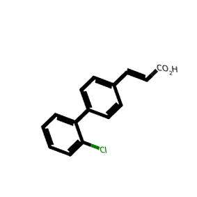 O=C(O)C=Cc1ccc(-c2ccccc2Cl)cc1